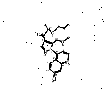 CCCON(C)C(=O)c1cnn(-c2ccnc3cc(Cl)ccc23)c1COC